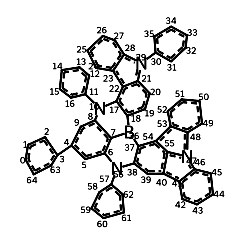 c1ccc(-c2cc3c4c(c2)N(c2ccccc2)c2c(ccc5c2c2ccccc2n5-c2ccccc2)B4c2c(cc4c5ccccc5n5c6ccccc6c2c45)N3c2ccccc2)cc1